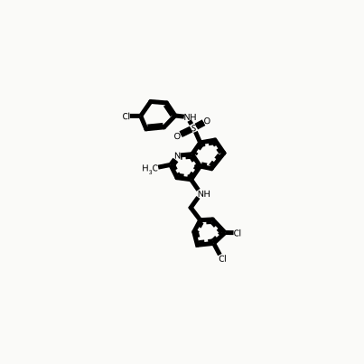 Cc1cc(NCc2ccc(Cl)c(Cl)c2)c2cccc(S(=O)(=O)NC3=CCC(Cl)C=C3)c2n1